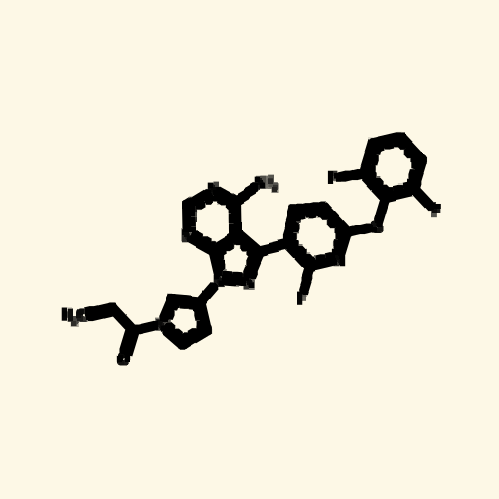 C=CC(=O)n1ccc(-n2nc(-c3ccc(Oc4c(F)cccc4F)nc3F)c3c(N)ncnc32)c1